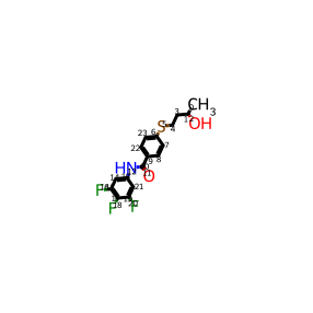 CC(O)CCSc1ccc(C(=O)Nc2cc(F)c(F)c(F)c2)cc1